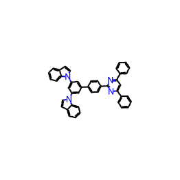 c1ccc(-c2cc(-c3ccccc3)nc(-c3ccc(-c4cc(-n5ccc6ccccc65)cc(-n5ccc6ccccc65)c4)cc3)n2)cc1